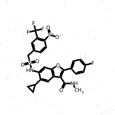 CNC(=O)c1c(-c2ccc(F)cc2)oc2cc(NS(=O)(=O)Cc3ccc([N+](=O)[O-])c(C(F)(F)F)c3)c(C3CC3)cc12